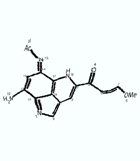 CO/C=C/C(=O)c1cc2cnc3c(N)cc(=NC(C)=O)c([nH]1)c23